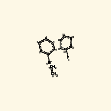 Brc1ccccc1.C=C.Fc1ccccc1